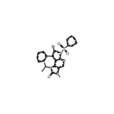 CC(C)n1c(=O)n(C)c2cnc3c(c(-c4ccccc4)c(Br)n3S(=O)(=O)c3ccccc3)c21